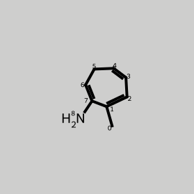 CC1=CC=CCC=C1N